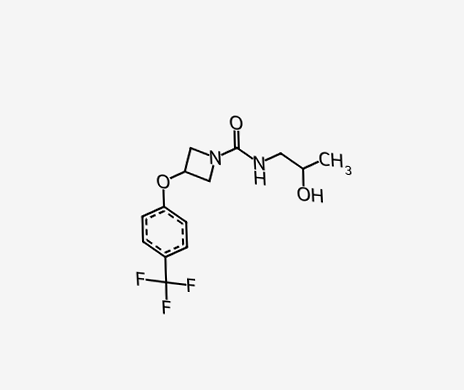 CC(O)CNC(=O)N1CC(Oc2ccc(C(F)(F)F)cc2)C1